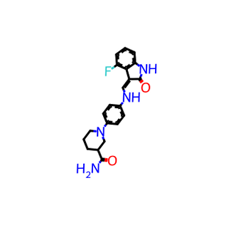 NC(=O)C1CCCN(c2ccc(N/C=C3\C(=O)Nc4cccc(F)c43)cc2)C1